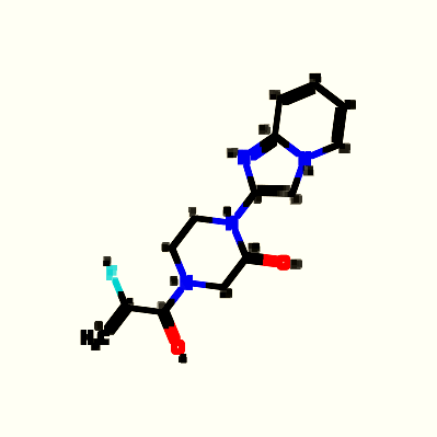 C=C(F)C(=O)N1CCN(c2cn3ccccc3n2)C(=O)C1